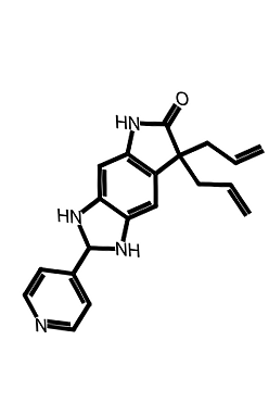 C=CCC1(CC=C)C(=O)Nc2cc3c(cc21)NC(c1ccncc1)N3